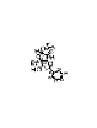 CC[C@@]1(CO)O[C@@H]2OC(C)(C)O[C@H]2C1OCc1ccccc1